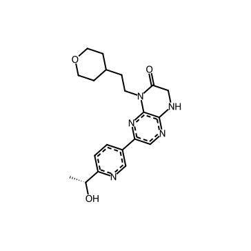 C[C@@H](O)c1ccc(-c2cnc3c(n2)N(CCC2CCOCC2)C(=O)CN3)cn1